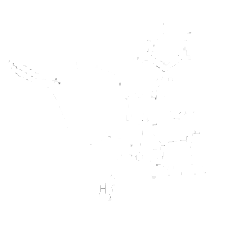 CCC12CCCN(C#N)CCc3c(n(c4ccccc34)C(O)(C(=O)OC)C1)C2COC